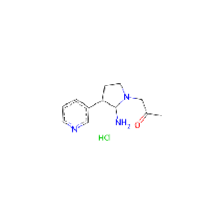 CC(=O)CN1CCC(c2cccnc2)C1N.Cl